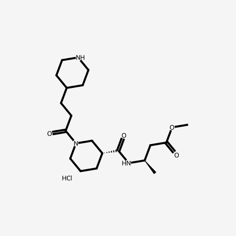 COC(=O)C[C@@H](C)NC(=O)[C@@H]1CCCN(C(=O)CCC2CCNCC2)C1.Cl